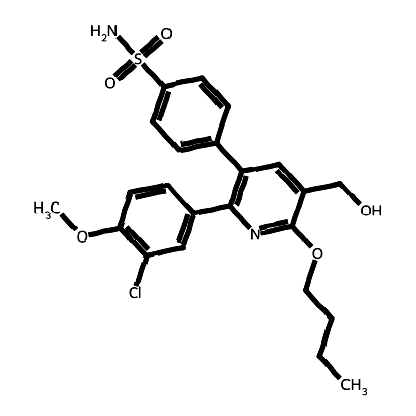 CCCCOc1nc(-c2ccc(OC)c(Cl)c2)c(-c2ccc(S(N)(=O)=O)cc2)cc1CO